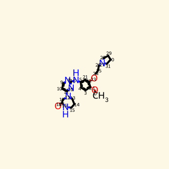 COc1ccc(Nc2nccc(N3CCCNC(=O)C3)n2)cc1OCCCN1CCCC1